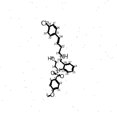 COc1ccc(S(=O)(=O)N(CCO)c2ccccc2CNCCC=Cc2ccc(Cl)cc2)cc1